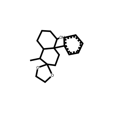 CC1C2CCCC(O)C2(c2ccccc2)CCC12OCCO2